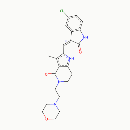 Cc1c(/C=C2\C(=O)Nc3ccc(Cl)cc32)[nH]c2c1C(=O)N(CCN1CCOCC1)CC2